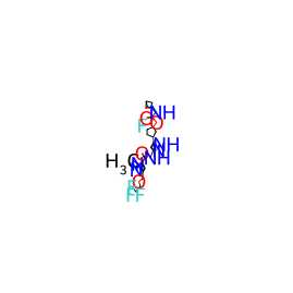 Cn1nc(COCC(F)(F)F)cc1C(=O)Nc1cc([C@H]2C[C@@H](F)[C@@H](OC(=O)NC34CC(C3)C4)C2)[nH]n1